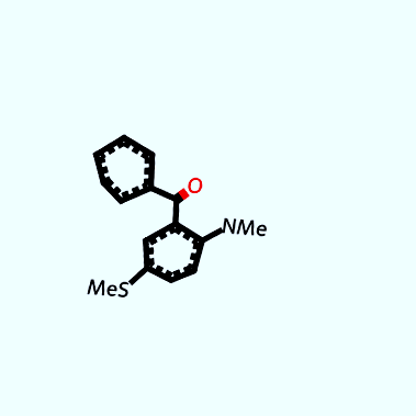 CNc1ccc(SC)cc1C(=O)c1ccccc1